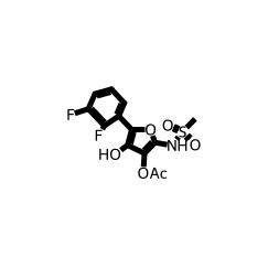 CC(=O)Oc1c(NS(C)(=O)=O)oc(-c2cccc(F)c2F)c1O